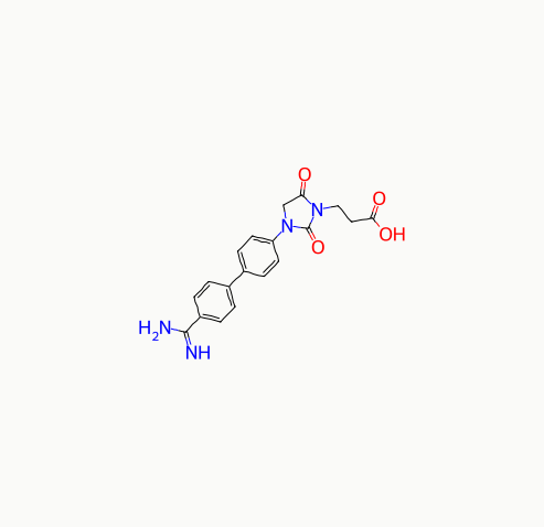 N=C(N)c1ccc(-c2ccc(N3CC(=O)N(CCC(=O)O)C3=O)cc2)cc1